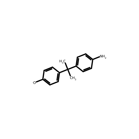 CC(C)(c1ccc(N)cc1)c1ccc([O])cc1